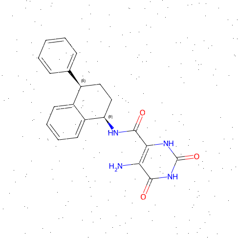 Nc1c(C(=O)N[C@@H]2CC[C@H](c3ccccc3)c3ccccc32)[nH]c(=O)[nH]c1=O